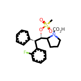 CS(=O)(=O)O[C@H](C1CCCN1C(=O)O)[C@@H](c1ccccc1)c1ccccc1F